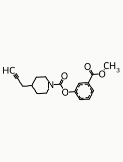 C#CCC1CCN(C(=O)Oc2cccc(C(=O)OC)c2)CC1